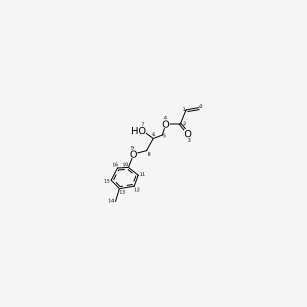 C=CC(=O)OCC(O)COc1ccc(C)cc1